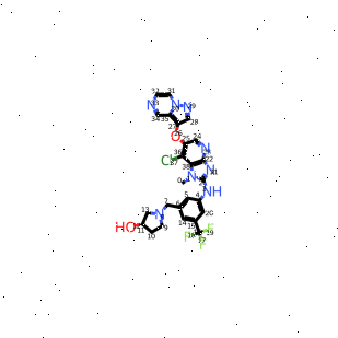 Cn1c(Nc2cc(CN3CC[C@@H](O)C3)cc(C(F)(F)F)c2)nc2ncc(Oc3cnn4ccncc34)c(Cl)c21